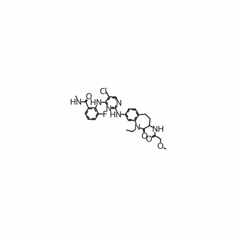 CCN1C(=O)C(NC(=O)COC)CCc2ccc(Nc3ncc(Cl)c(Nc4c(F)cccc4C(=O)NC)n3)cc21